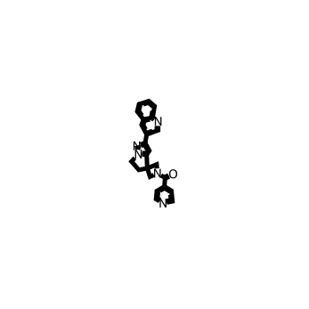 O=C(c1ccncc1)N1CC2(CCn3nc(-c4cnc5ccccc5c4)cc32)C1